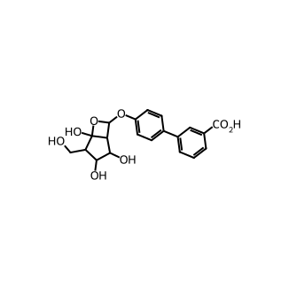 O=C(O)c1cccc(-c2ccc(OC3OC4(O)C(CO)C(O)C(O)C34)cc2)c1